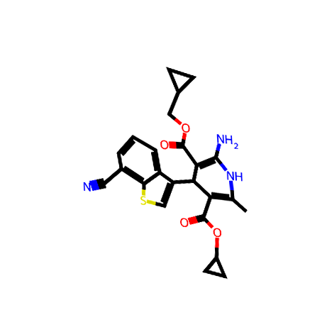 CC1=C(C(=O)OC2CC2)C(c2csc3c(C#N)cccc23)C(C(=O)OCC2CC2)=C(N)N1